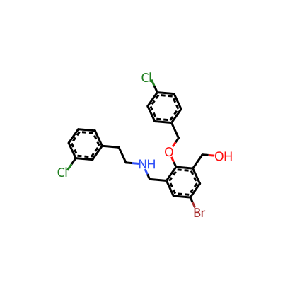 OCc1cc(Br)cc(CNCCc2cccc(Cl)c2)c1OCc1ccc(Cl)cc1